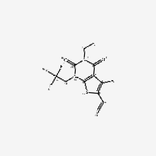 CCn1c(=O)c2c(C)c(C=O)sc2n(CC(F)(F)F)c1=O